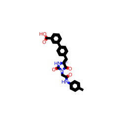 Cc1ccc(NC(=O)CN2C(=O)N/C(=C\c3ccc(-c4cccc(C(=O)O)c4)cc3)C2=O)cc1